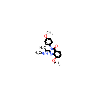 CNC(C)c1nc2c(OC)cccc2c(=O)n1-c1ccc(OC)cc1